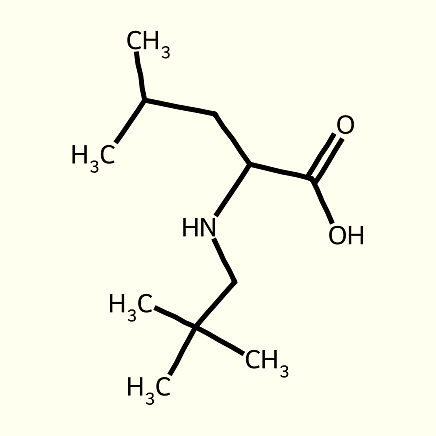 CC(C)CC(NCC(C)(C)C)C(=O)O